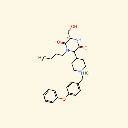 CCCCN1C(=O)[C@H](CO)NC(=O)C1C1CCN(Cc2ccc(Oc3ccccc3)cc2)CC1.Cl